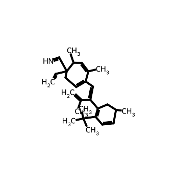 C=CC1(C=N)CC=C(/C=C(\C(=C)C)C2=C(C(C)(C)C)C=CC(C)C2)C(C)=CC1C